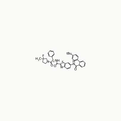 CC1(F)CCN(C(=O)[C@@H](NC(=O)c2nc3ccc(NC(=O)c4ccccc4-c4ccc(C(C)(C)C)cc4)cc3s2)c2ccccc2)C1